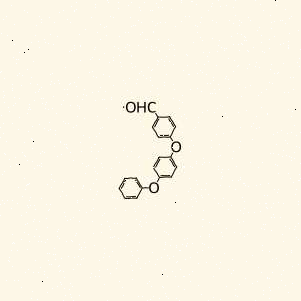 O=[C]c1ccc(Oc2ccc(Oc3ccccc3)cc2)cc1